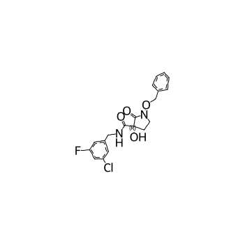 O=C(NCc1cc(F)cc(Cl)c1)[C@]1(O)CCN(OCc2ccccc2)C1=O